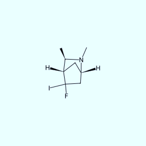 C[C@@H]1[C@@H]2C[C@@H](CC2(F)I)N1C